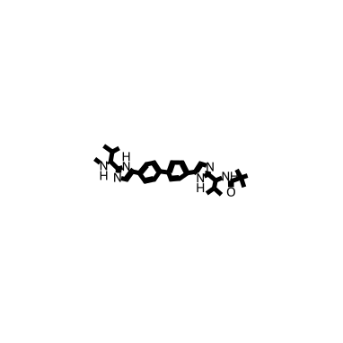 CN[C@H](c1ncc(-c2ccc(-c3ccc(-c4cnc(C(NC(=O)C(C)(C)C)C(C)C)[nH]4)cc3)cc2)[nH]1)C(C)C